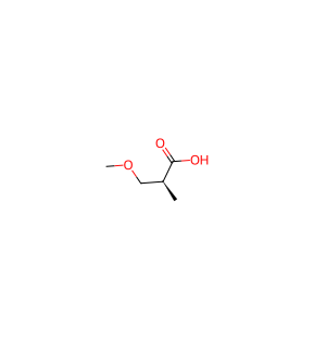 COC[C@H](C)C(=O)O